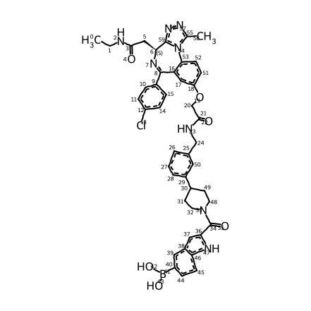 CCNC(=O)C[C@@H]1N=C(c2ccc(Cl)cc2)c2cc(OCC(=O)NCc3cccc(C4CCN(C(=O)c5cc6cc(B(O)O)ccc6[nH]5)CC4)c3)ccc2-n2c(C)nnc21